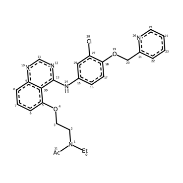 CCN(CCOc1cccc2ncnc(Nc3ccc(OCc4ccccn4)c(Cl)c3)c12)C(C)=O